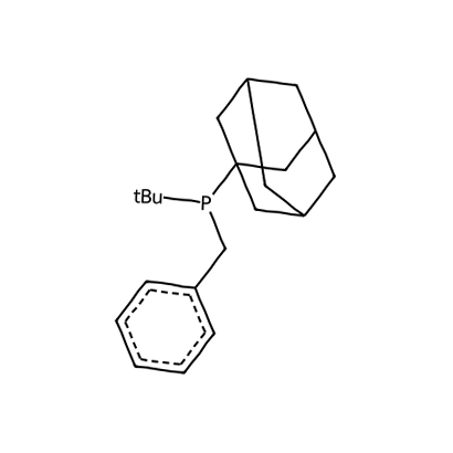 CC(C)(C)P(Cc1ccccc1)C12CC3CC(CC(C3)C1)C2